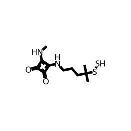 CNc1c(NCCCC(C)(C)SS)c(=O)c1=O